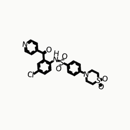 O=C(c1ccncc1)c1cc(Cl)ccc1NS(=O)(=O)c1ccc(N2CCS(=O)(=O)CC2)cc1